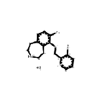 Cl.Clc1ccc2c(c1SCc1ncccc1Br)CCNCC2